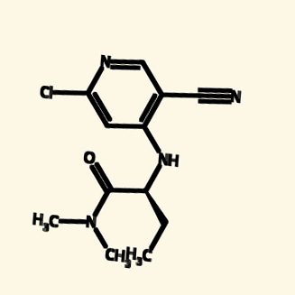 CC[C@H](Nc1cc(Cl)ncc1C#N)C(=O)N(C)C